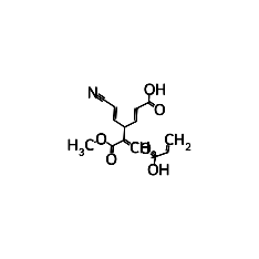 C=C(C(=O)OC)C(C=CC#N)C=CC(=O)O.C=CC(=O)O